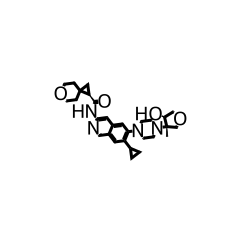 C[C@]1(N2CCN(c3cc4cc(NC(=O)[C@@H]5CC56CCOCC6)ncc4cc3C3CC3)CC2)COC[C@H]1O